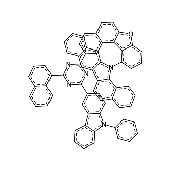 c1ccc(-n2c3ccccc3c3cc(-c4nc(-c5ccc6ccc7oc8cccc(-n9c%10cc%11ccccc%11cc%10c%10ccc%11ccccc%11c%109)c8c7c6c5)nc(-c5cccc6ccccc56)n4)ccc32)cc1